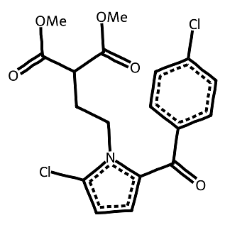 COC(=O)C(CCn1c(Cl)ccc1C(=O)c1ccc(Cl)cc1)C(=O)OC